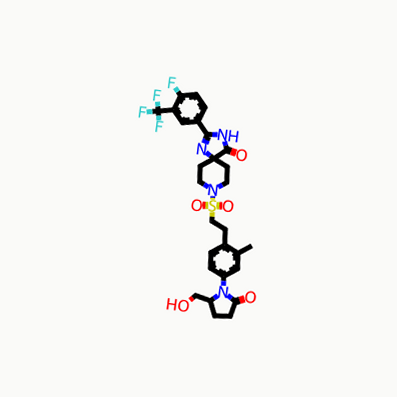 Cc1cc(N2C(=O)CCC2CO)ccc1CCS(=O)(=O)N1CCC2(CC1)N=C(c1ccc(F)c(C(F)(F)F)c1)NC2=O